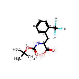 CC(C)(C)OC(=O)NC(Cc1ccccc1C(F)(F)F)C(=O)O